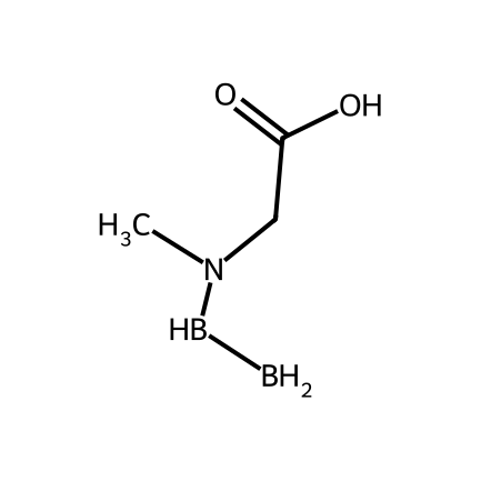 BBN(C)CC(=O)O